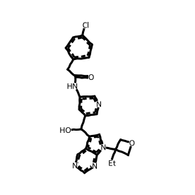 CCC1(n2cc(C(O)c3cncc(NC(=O)Cc4ccc(Cl)cc4)c3)c3cncnc32)COC1